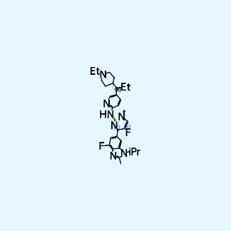 C=N/C=C(F)\C(=N/CNc1ccc([C@H](CC)C2CCN(CC)CC2)cn1)c1cc(F)c2nc(C)n(C(C)C)c2c1